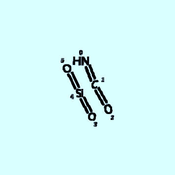 N=C=O.O=[Si]=O